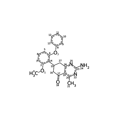 COc1cccc(Oc2ccccc2)c1C1CC(=O)c2c(C)nc(N)nc2C1